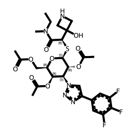 CCN(C)C(=O)[C@H](S[C@@H]1O[C@H](COC(C)=O)[C@H](OC(C)=O)[C@H](n2cc(-c3cc(F)c(F)c(F)c3)nn2)[C@H]1OC(C)=O)C1(O)CNC1